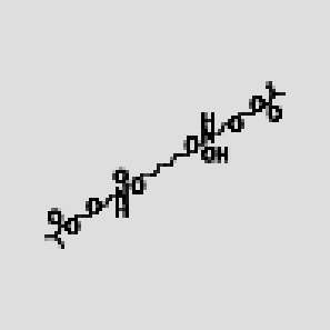 C=C(C)C(=O)OCCOCCNC(=O)OCCCCCCOC(O)NCCOCCOC(=O)C(=C)C